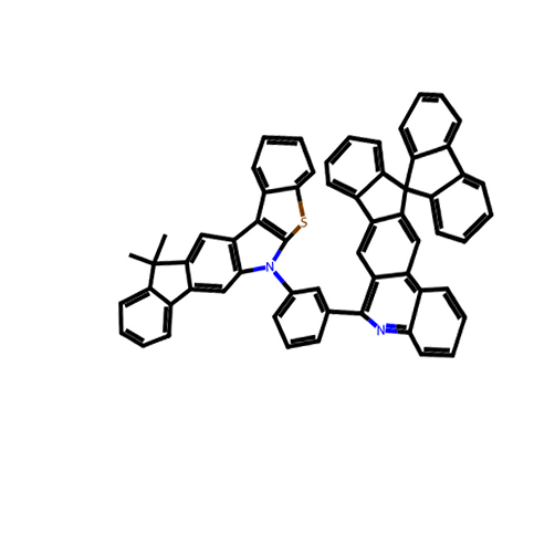 CC1(C)c2ccccc2-c2cc3c(cc21)c1c2ccccc2sc1n3-c1cccc(-c2nc3ccccc3c3cc4c(cc23)-c2ccccc2C42c3ccccc3-c3ccccc32)c1